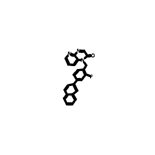 O=c1cnc2ncccc2n1Cc1ccc(-c2ccc3ccccc3c2)cc1F